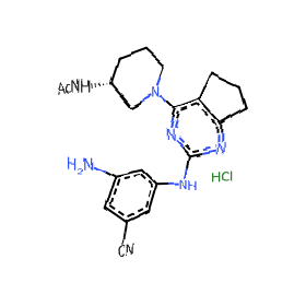 CC(=O)N[C@@H]1CCCN(c2nc(Nc3cc(N)cc(C#N)c3)nc3c2CCC3)C1.Cl